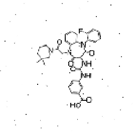 CC1(C)CCCN(C(=O)CN2C(=O)C(NC(=O)Nc3cccc(C(=O)O)c3)C(=O)N(c3ccccc3F)c3ccccc32)C1